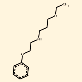 CCOCCCNCCOc1c[c]ccc1